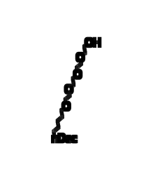 CCCCCCCCCCCCCCCOCCOCCOCCOCCO